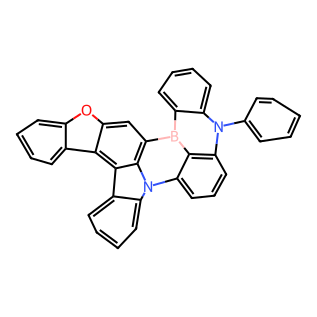 c1ccc(N2c3ccccc3B3c4c2cccc4-n2c4ccccc4c4c5c(cc3c42)oc2ccccc25)cc1